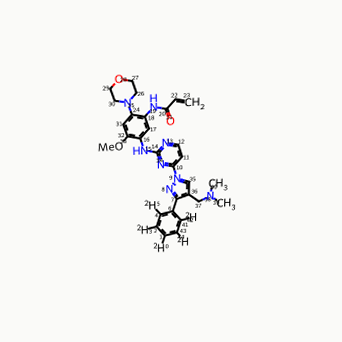 [2H]c1c([2H])c([2H])c(-c2nn(-c3ccnc(Nc4cc(NC(=O)C=C)c(N5CCOCC5)cc4OC)n3)cc2CN(C)C)c([2H])c1[2H]